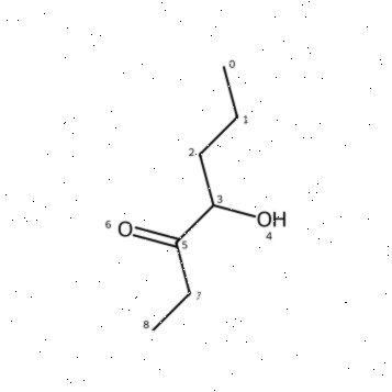 CCCC(O)C(=O)CC